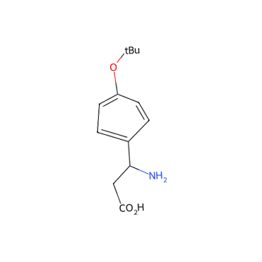 CC(C)(C)Oc1ccc(C(N)CC(=O)O)cc1